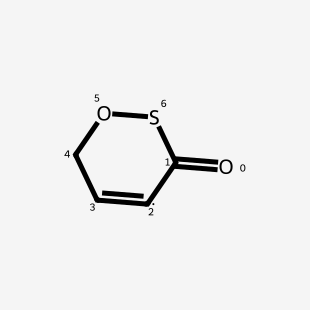 O=C1[C]=CCOS1